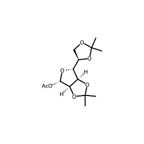 CC(=O)O[C@@H]1O[C@H]([C@H]2COC(C)(C)O2)[C@H]2OC(C)(C)O[C@@H]12